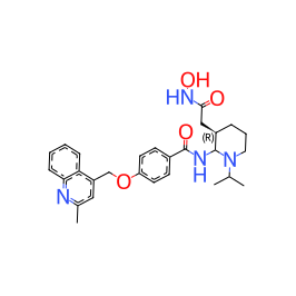 Cc1cc(COc2ccc(C(=O)NC3[C@@H](CC(=O)NO)CCCN3C(C)C)cc2)c2ccccc2n1